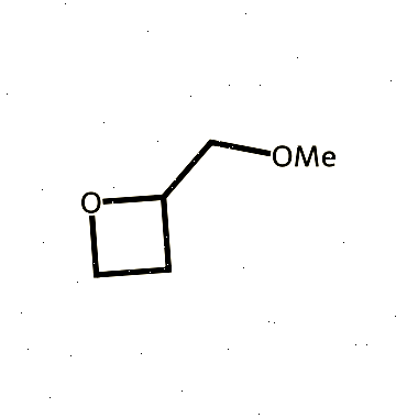 COCC1CCO1